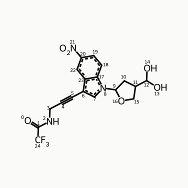 O=C(NCC#Cc1cn(C2CC(C(O)O)CO2)c2ccc([N+](=O)[O-])cc12)C(F)(F)F